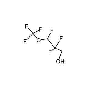 OCC(F)(F)C(F)OC(F)(F)F